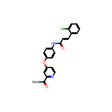 CNC(=O)c1cc(Oc2ccc(NC(=O)C=Cc3ccccc3Cl)cc2)ccn1